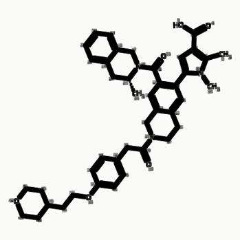 Cc1c(C(=O)O)cc(-c2cc3c(cc2C(=O)N2Cc4ccccc4C[C@H]2C)CN(C(=O)Cc2ccc(OCCC4CCOCC4)cc2)CC3)n1C